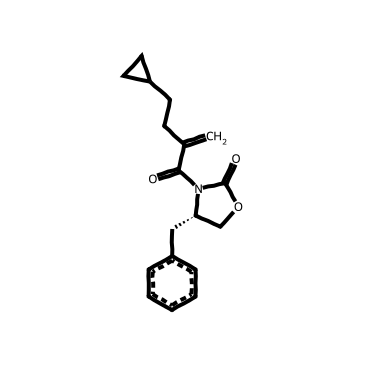 C=C(CCC1CC1)C(=O)N1C(=O)OC[C@@H]1Cc1ccccc1